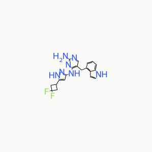 Nc1ncc(Cc2cccc3[nH]ccc23)c(Nc2cc(C3CC(F)(F)C3)[nH]n2)n1